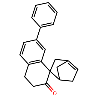 O=C1CCc2ccc(-c3ccccc3)cc2C12CC1=CCC2C1